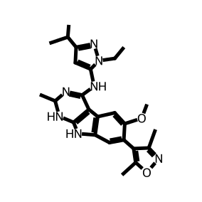 CCn1nc(C(C)C)cc1NC1=NC(C)Nc2[nH]c3cc(-c4c(C)noc4C)c(OC)cc3c21